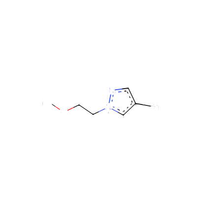 CC(C)OCCn1cc(C(C)C)cn1